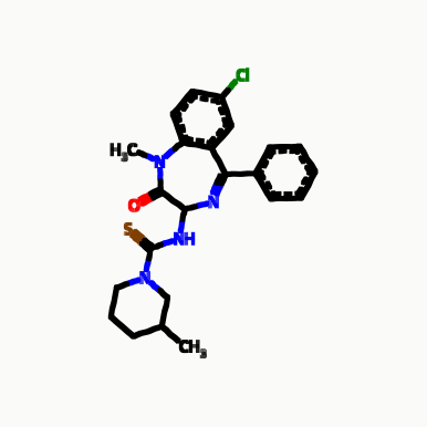 CC1CCCN(C(=S)NC2N=C(c3ccccc3)c3cc(Cl)ccc3N(C)C2=O)C1